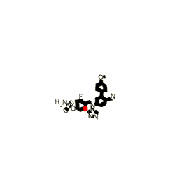 COc1ccc(-c2cc(N(Cc3c(F)cc(OS(N)(=O)=O)cc3F)n3cnnc3)ccc2C#N)cc1